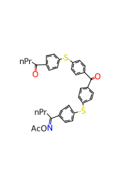 CCCC(=O)c1ccc(Sc2ccc(C(=O)c3ccc(Sc4ccc(C(CCC)=NOC(C)=O)cc4)cc3)cc2)cc1